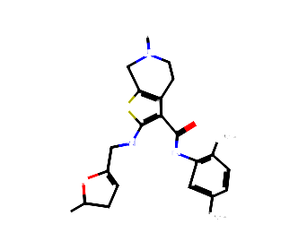 CCOC(=O)N1CCc2c(sc(NCC3=CCC(C)O3)c2C(=O)Nc2cc(OC)ccc2OC)C1